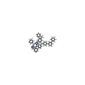 CC1(C)c2ccccc2-c2ccc(N(c3ccc(-c4cccc(-c5ccccc5)c4)cc3)c3ccc4c(c3)C3(c5ccccc5-4)c4ccccc4N(c4ccccc4)c4ccccc43)cc21